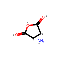 N.O=C1CCC(=O)O1